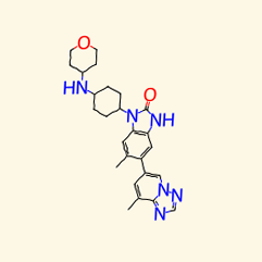 Cc1cc2c(cc1-c1cc(C)c3ncnn3c1)[nH]c(=O)n2C1CCC(NC2CCOCC2)CC1